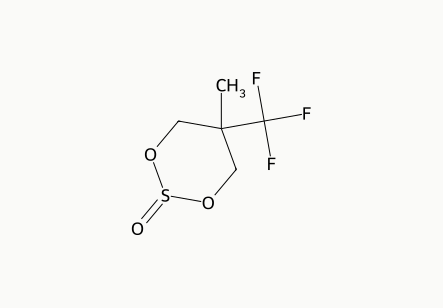 CC1(C(F)(F)F)COS(=O)OC1